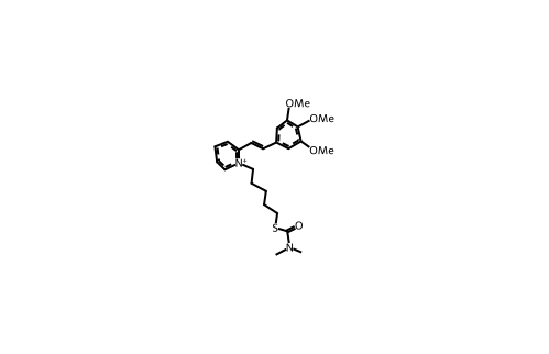 COc1cc(/C=C/c2cccc[n+]2CCCCCSC(=O)N(C)C)cc(OC)c1OC